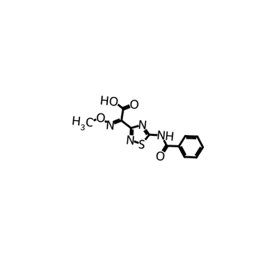 CON=C(C(=O)O)c1nsc(NC(=O)c2ccccc2)n1